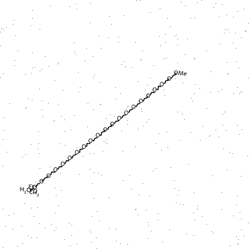 CCC(C)(C)C(=O)OCCCOCCCOCCCOCCCOCCCOCCCOCCCOCCCOCCCOCCCOCCCOCCCOCCCOCCCOCCCOCCCOCCCOCCCOCCCOCCCOC